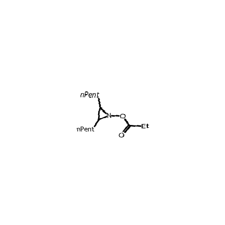 CCCCCC1C(CCCCC)N1OC(=O)CC